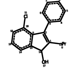 CCCC1=C(c2ccccc2)c2c(Cl)cccc2C1O